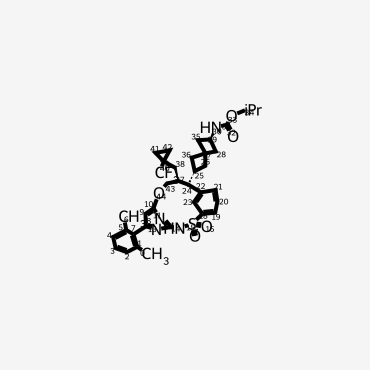 Cc1cccc(C)c1-c1cc2nc(n1)NS(=O)(=O)c1cccc(c1)C([C@H]1CC3(C[C@H](NC(=O)OC(C)C)C3)C1)[C@H](CC1(C(F)(F)F)CC1)CO2